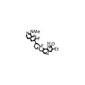 CCc1cc2ncc(CN3CC=C(c4cc5ccnc(NC)c5nc4F)CC3)c(F)c2[nH]c1=O